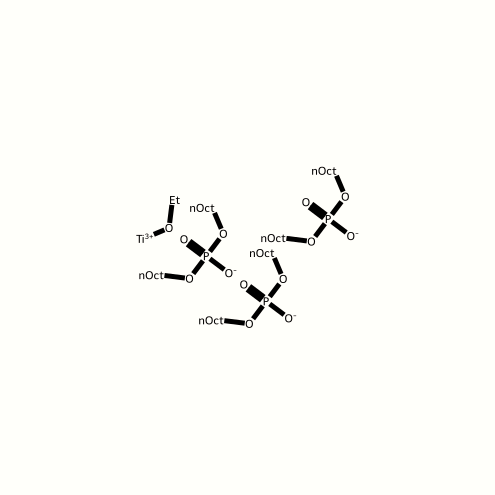 CCCCCCCCOP(=O)([O-])OCCCCCCCC.CCCCCCCCOP(=O)([O-])OCCCCCCCC.CCCCCCCCOP(=O)([O-])OCCCCCCCC.CC[O][Ti+3]